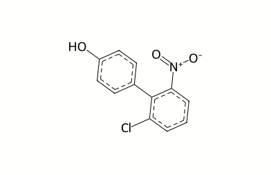 O=[N+]([O-])c1cccc(Cl)c1-c1ccc(O)cc1